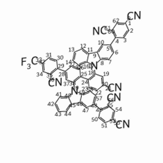 N#Cc1ccc(-c2ccc3c(c2)c2ccccc2n3-c2cc(C#N)ccc2-c2ccc(-c3ccc(C(F)(F)F)cc3C#N)cc2-n2c3ccccc3c3cc(-c4ccc(C#N)cc4C#N)ccc32)c(C#N)c1